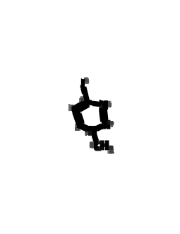 CN1C=C=C(I)N=N1